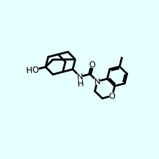 Cc1ccc2c(c1)N(C(=O)NC1C3CC4CC1CC(O)(C4)C3)CCO2